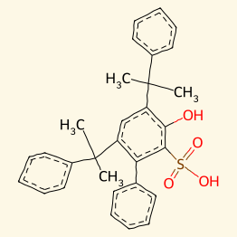 CC(C)(c1ccccc1)c1cc(C(C)(C)c2ccccc2)c(-c2ccccc2)c(S(=O)(=O)O)c1O